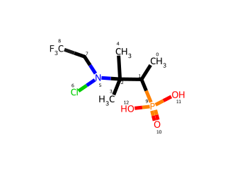 CC(C(C)(C)N(Cl)CC(F)(F)F)P(=O)(O)O